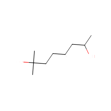 CC(O)CCCCC(C)(C)O